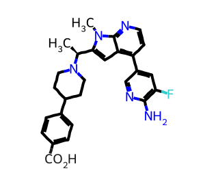 C[C@@H](c1cc2c(-c3cnc(N)c(F)c3)ccnc2n1C)N1CCC(c2ccc(C(=O)O)cc2)CC1